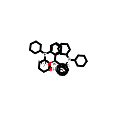 CN(C)[C@@H](c1ccccc1P(C1CCCCC1)C1CCCCC1)[C]12[CH]3[CH]4[CH]5[C@]1(P(C1CCCCC1)C1CCCCC1)[Fe]43521678[CH]2[CH]1[CH]6[CH]7[CH]28